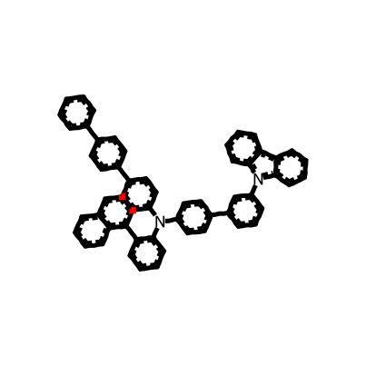 c1ccc(-c2ccc(-c3ccc(N(c4ccc(-c5cccc(-n6c7ccccc7c7ccccc76)c5)cc4)c4ccccc4-c4cccc5ccccc45)cc3)cc2)cc1